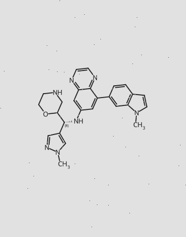 Cn1cc([C@@H](Nc2cc(-c3ccc4ccn(C)c4c3)c3nccnc3c2)C2CNCCO2)cn1